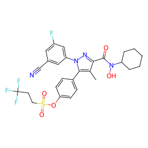 Cc1c(C(=O)N(O)C2CCCCC2)nn(-c2cc(F)cc(C#N)c2)c1-c1ccc(OS(=O)(=O)CCC(F)(F)F)cc1